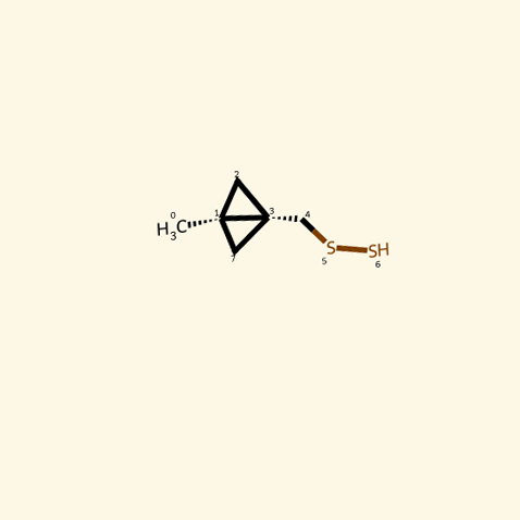 C[C@]12C[C@@]1(CSS)C2